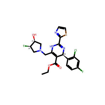 CCOC(=O)C1=C(CN2C[C@@H](F)[C@@H](O)C2)NC(c2nccs2)=N[C@H]1c1ccc(F)cc1Cl